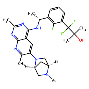 CC(=O)N1C[C@@H]2C[C@H]1CN2c1cc2c(N[C@H](C)c3cccc(C(F)(F)C(C)(C)O)c3F)nc(C)nc2nc1C